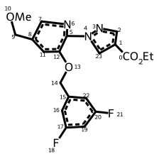 CCOC(=O)c1cnn(-c2ncc(COC)cc2OCc2cc(F)cc(F)c2)c1